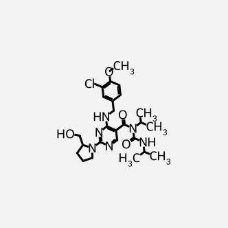 COc1ccc(CNc2nc(N3CCCC3CO)ncc2C(=O)N(C(=O)NC(C)C)C(C)C)cc1Cl